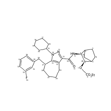 CCOC(=O)O[C@@H]1C2CCC(C2)[C@@H]1NC(=O)c1nn(C2CCCCC2)c2c1CCCCC2Cc1cccc(F)c1